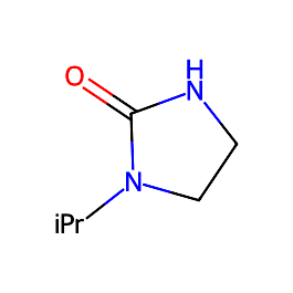 CC(C)N1CCNC1=O